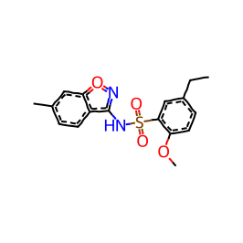 CCc1ccc(OC)c(S(=O)(=O)Nc2noc3cc(C)ccc23)c1